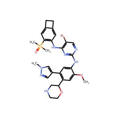 COc1cc(C2CNCCO2)c(-c2cnn(C)c2)cc1Nc1ncc(Br)c(Nc2cc3c(cc2P(C)(C)=O)CC3)n1